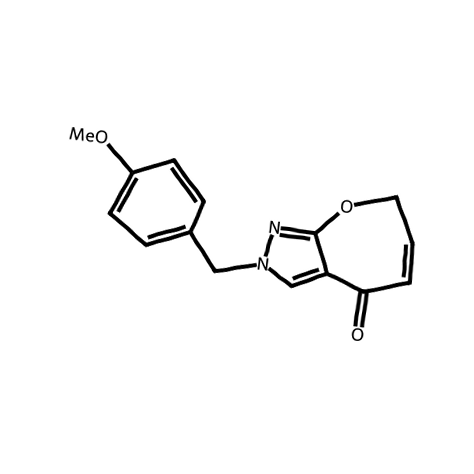 COc1ccc(Cn2cc3c(n2)OCC=CC3=O)cc1